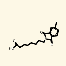 Cc1ccc2c(c1)C(=O)N(CCCCCCCC(=O)O)C2=O